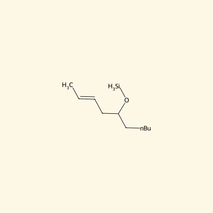 CC=CCC(CCCCC)O[SiH3]